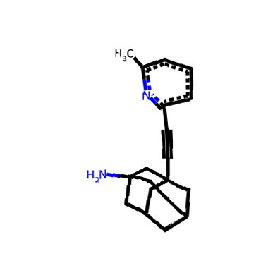 Cc1cccc(C#CC23CC4CC(CC(N)(C4)C2)C3)n1